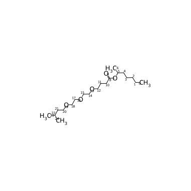 CCCCCC(C)OC(=O)CCCOCCOCCOCCC(C)C